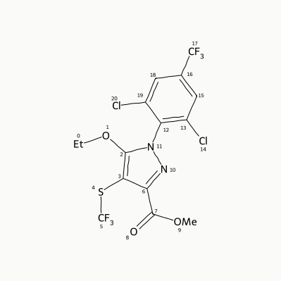 CCOc1c(SC(F)(F)F)c(C(=O)OC)nn1-c1c(Cl)cc(C(F)(F)F)cc1Cl